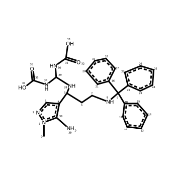 Cn1ncc(C(CCNC(c2ccccc2)(c2ccccc2)c2ccccc2)NC(NC(=O)O)NC(=O)O)c1N